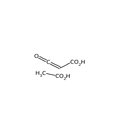 CC(=O)O.O=C=CC(=O)O